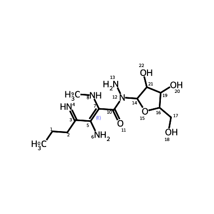 CCCC(=N)/C(N)=C(\NC)C(=O)N(N)C1OC(CO)C(O)C1O